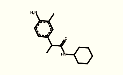 Cc1cc(C(C)C(=O)NC2CCCCC2)ccc1N